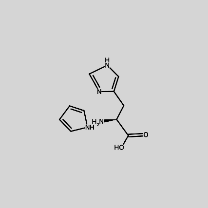 N[C@@H](Cc1c[nH]cn1)C(=O)O.c1cc[nH]c1